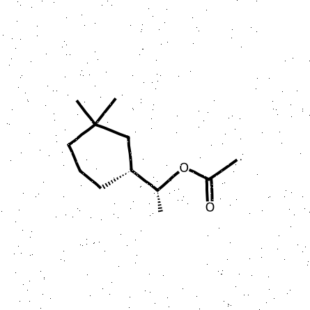 [CH2]C(=O)O[C@H](C)[C@@H]1CCCC(C)(C)C1